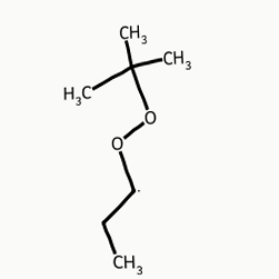 CC[CH]OOC(C)(C)C